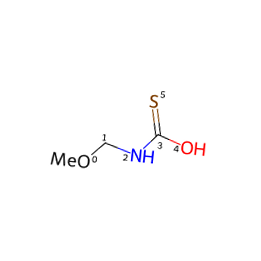 COCNC(O)=S